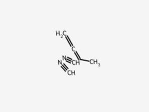 C#N.C#N.C=C=CC